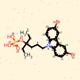 CCC(CC)(CCCn1c2ccc(Br)cc2c2cc(Br)ccc21)OP(=O)(O)O